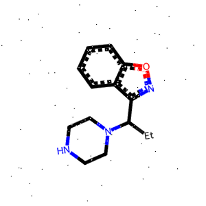 CCC(c1noc2ccccc12)N1CCNCC1